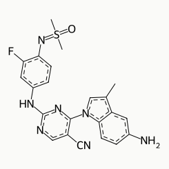 Cc1cn(-c2nc(Nc3ccc(N=S(C)(C)=O)c(F)c3)ncc2C#N)c2ccc(N)cc12